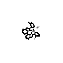 Cc1ccccc1C1=Cc2ccccc2[CH]1[Zr+2]([CH]1C(c2ccccc2C)=Cc2ccccc21)[SiH](C)C.[Cl-].[Cl-]